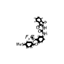 CSc1ccc(Oc2ccc(NC(=O)NN3C(=O)c4ccccc4C3=O)cc2SC(F)(F)F)cc1